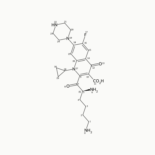 NCCCC[C@H](N)C(=O)c1c(C(=O)O)c(=O)c2cc(F)c(N3CCNCC3)cc2n1C1CC1